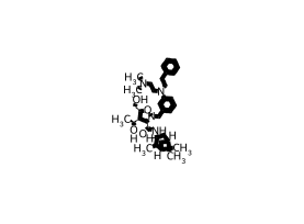 CC1[C@@H](NC(=O)[C@@H]2[C@H]([C@H](C)O)[C@H](CO)ON2Cc2cccc(N(CCc3ccccc3)CCN(C)C)c2)C[C@H]2C[C@@H]1C2(C)C